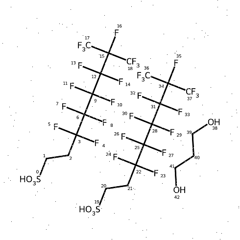 O=S(=O)(O)CCC(F)(F)C(F)(F)C(F)(F)C(F)(F)C(F)(C(F)(F)F)C(F)(F)F.O=S(=O)(O)CCC(F)(F)C(F)(F)C(F)(F)C(F)(F)C(F)(C(F)(F)F)C(F)(F)F.OCCCO